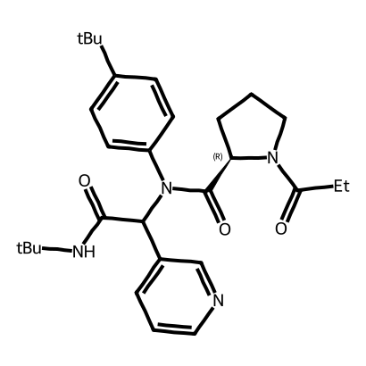 CCC(=O)N1CCC[C@@H]1C(=O)N(c1ccc(C(C)(C)C)cc1)C(C(=O)NC(C)(C)C)c1cccnc1